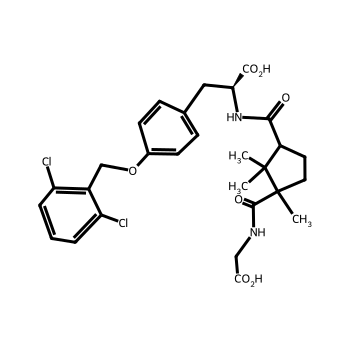 CC1(C(=O)NCC(=O)O)CCC(C(=O)N[C@@H](Cc2ccc(OCc3c(Cl)cccc3Cl)cc2)C(=O)O)C1(C)C